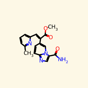 COC(=O)/C(=C/c1cccc(C)n1)c1ccc2ncc(C(N)=O)n2c1